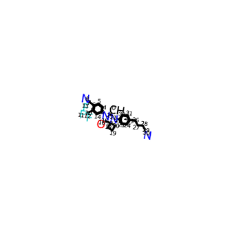 C=C1N(c2ccc(C#N)c(C(F)(F)F)c2)C(=O)C2(CCC2)N1c1ccc(CCCC#N)cc1